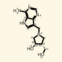 Nc1ncnc2c(CN3C[C@H](CO)[C@@H](O)C3)c[nH]c12